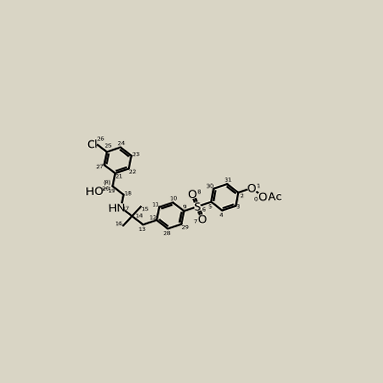 CC(=O)OOc1ccc(S(=O)(=O)c2ccc(CC(C)(C)NC[C@H](O)c3cccc(Cl)c3)cc2)cc1